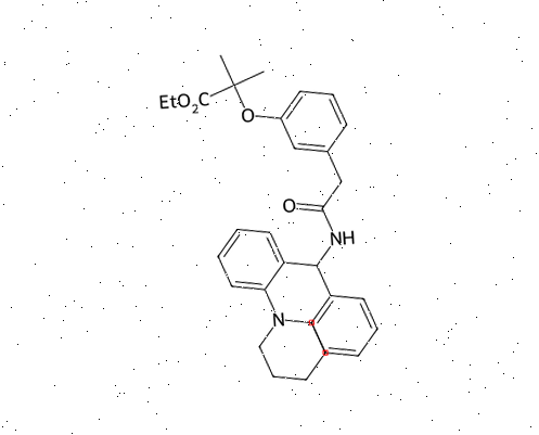 CCOC(=O)C(C)(C)Oc1cccc(CC(=O)NC(c2ccccc2)c2ccccc2N2CCCCC2)c1